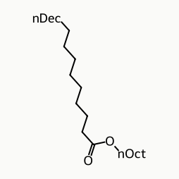 CCCCCCCCCCCCCCCCCCC(=O)OCCCCCCCC